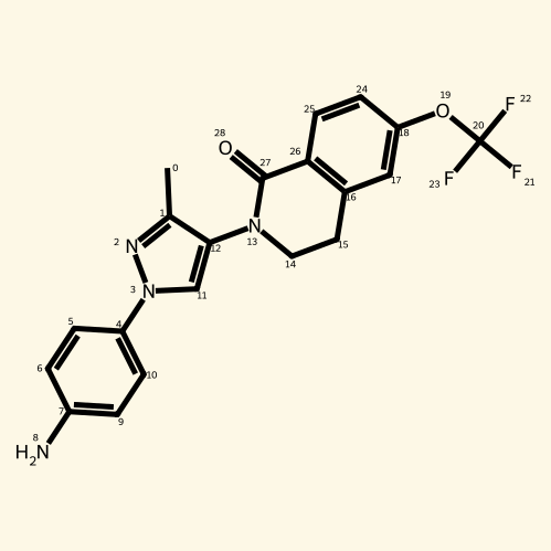 Cc1nn(-c2ccc(N)cc2)cc1N1CCc2cc(OC(F)(F)F)ccc2C1=O